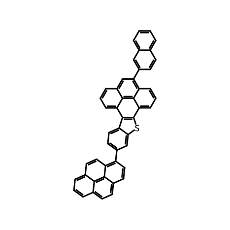 c1ccc2cc(-c3cc4cccc5c6c7ccc(-c8ccc9ccc%10cccc%11ccc8c9c%10%11)cc7sc6c6cccc3c6c45)ccc2c1